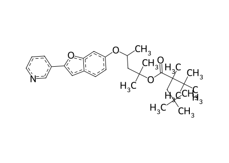 CC(CC(C)(C)OC(=O)C(C)(CC(C)(C)C)C(C)(C)C)Oc1ccc2cc(-c3cccnc3)oc2c1